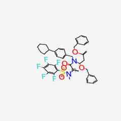 C=C(CC(OCc1ccccc1)N(Cc1ccc(C2CCCCC2)cc1)C(=O)[C@@H](C)N(C)S(=O)(=O)c1c(F)c(F)c(F)c(F)c1F)OCc1ccccc1